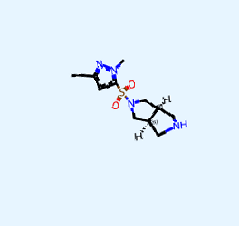 Cc1cc(S(=O)(=O)N2C[C@H]3CNC[C@H]3C2)n(C)n1